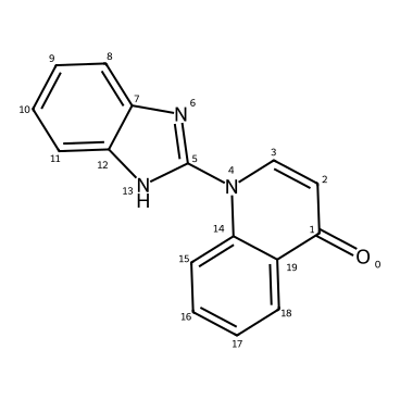 O=c1ccn(-c2nc3ccccc3[nH]2)c2ccccc12